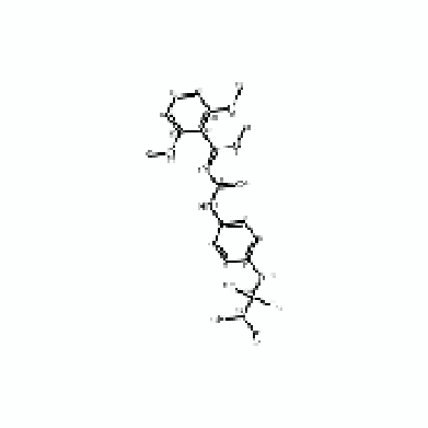 COC(=NC(=O)Nc1ccc(OC(F)(F)C(F)F)cc1)c1c(OC)cccc1OC